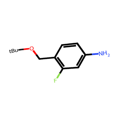 CC(C)(C)OCc1ccc(N)cc1F